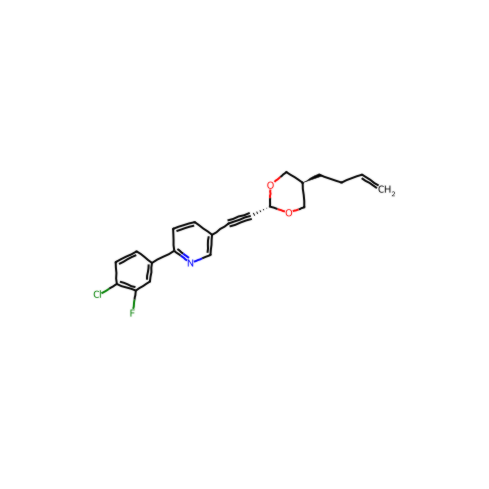 C=CCC[C@H]1CO[C@H](C#Cc2ccc(-c3ccc(Cl)c(F)c3)nc2)OC1